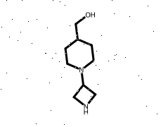 OCC1CCN(C2CNC2)CC1